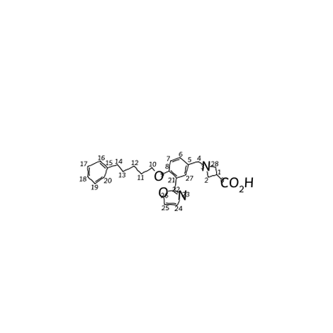 O=C(O)C1CN(Cc2ccc(OCCCCCc3ccccc3)c(-c3ncco3)c2)C1